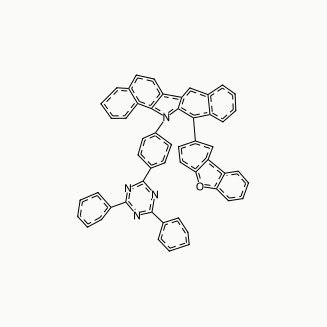 c1ccc(-c2nc(-c3ccccc3)nc(-c3ccc(-n4c5c(-c6ccc7oc8ccccc8c7c6)c6ccccc6cc5c5ccc6ccccc6c54)cc3)n2)cc1